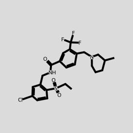 CCS(=O)(=O)c1ccc(Cl)cc1CNC(=O)c1ccc(CN2CCCC(C)C2)c(C(F)(F)F)c1